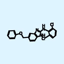 Clc1cccc(Cl)c1Nc1nc2cc(COc3ccccc3)ccc2[nH]1